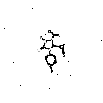 O=C1N(c2ccc(F)cc2)C(C2CC2=S)N(C(Cl)Cl)N1F